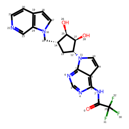 O=C(Nc1ncnc2c1ccn2[C@@H]1C[C@H](Cn2ccc3ccncc32)[C@@H](O)[C@H]1O)C(F)(F)F